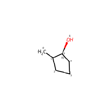 [CH2]C1CCC[C@@H]1O